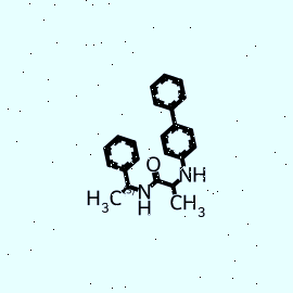 CC(Nc1ccc(-c2ccccc2)cc1)C(=O)N[C@@H](C)c1ccccc1